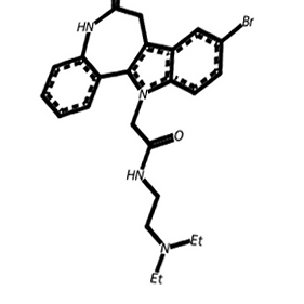 CCN(CC)CCNC(=O)Cn1c2c(c3cc(Br)ccc31)CC(=O)Nc1ccccc1-2